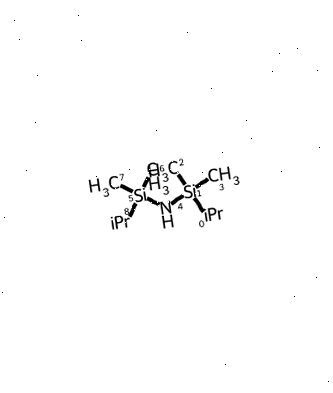 CC(C)[Si](C)(C)N[Si](C)(C)C(C)C